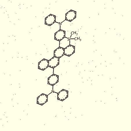 C[Si]1(C)c2cc(N(c3ccccc3)c3ccccc3)ccc2-c2cc3c4ccccc4c(-c4ccc(N(c5ccccc5)c5ccccc5)cc4)cc3c3cccc1c23